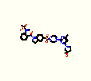 Cc1cc(N2CC[C@@H](O)C2)nc(N2CCN(S(=O)(=O)c3ccc4c(c3)CCN4C(=O)c3ccccc3N(C)S(C)(=O)=O)CC2)n1